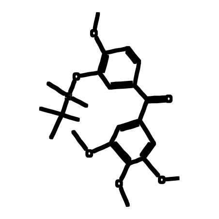 COc1ccc(C(=O)c2cc(OC)c(OC)c(OC)c2)cc1O[Si](C)(C)C(C)(C)C